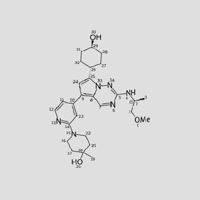 COC[C@H](C)Nc1ncc2c(-c3ccnc(N4CCC(C)(O)CC4)c3)cc([C@H]3CC[C@H](O)CC3)n2n1